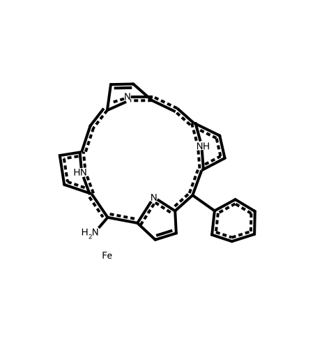 Nc1c2nc(c(-c3ccccc3)c3ccc(cc4nc(cc5ccc1[nH]5)C=C4)[nH]3)C=C2.[Fe]